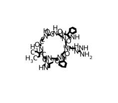 CCC(CC)C1CC(=O)N[C@@H](Cc2c[nH]cn2)C(=O)N[C@H](Cc2ccccc2)C(=O)N[C@@H](CCCNC(=N)N)C(=O)N[C@@H](Cc2c[nH]c3ccccc23)C(=O)NCC(=O)NCCC(=O)N1